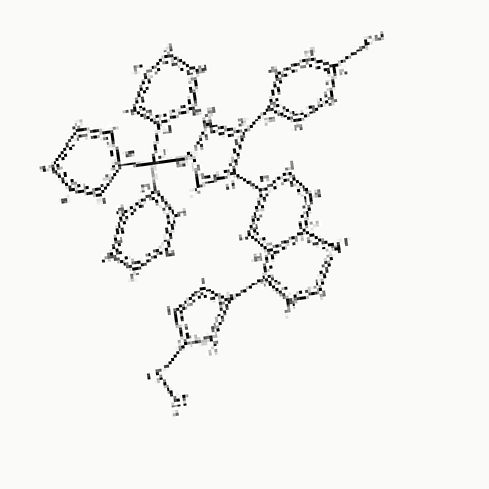 CCSc1ccc(-c2ncnc3ccc(-c4cn(C(c5ccccc5)(c5ccccc5)c5ccccc5)nc4-c4ccc(F)cc4)cc23)s1